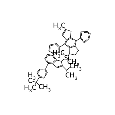 CC1=Cc2c(c(-c3ccccc3)c3c(c2-c2ccccc2)C([Si](C)(C)C2C(C(C)C)=Cc4c(-c5ccc(C(C)(C)C)cc5)cccc42)CC3)C1